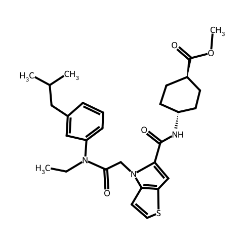 CCN(C(=O)Cn1c(C(=O)N[C@H]2CC[C@H](C(=O)OC)CC2)cc2sccc21)c1cccc(CC(C)C)c1